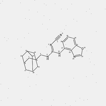 N#CN=C(NCC12CC3CC(CC(C3)C1)C2)Nc1cccc2ocnc12